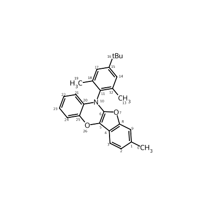 Cc1ccc2c3c(oc2c1)N(c1c(C)cc(C(C)(C)C)cc1C)c1ccccc1O3